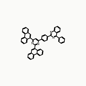 c1ccc(-c2nc(-c3ccc(-c4cc(-c5cc6ccccc6c6ccccc56)nc(-c5cc6ccccc6c6ccccc56)n4)cc3)nc3ccccc23)cc1